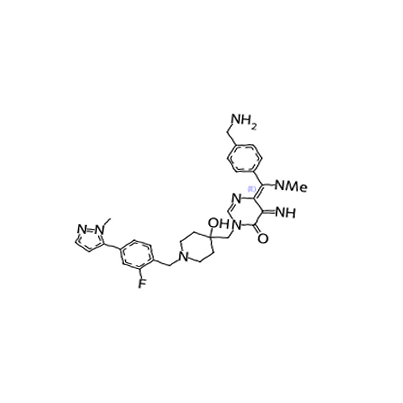 CN/C(=C1/N=CN(CC2(O)CCN(Cc3ccc(-c4ccnn4C)cc3F)CC2)C(=O)C1=N)c1ccc(CN)cc1